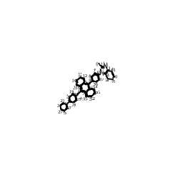 Cc1nc2c(n1-c1ccc(-c3c4ccccc4c(-c4ccc(-c5ccccc5)cc4)c4ccccc34)cc1)CCC=C2